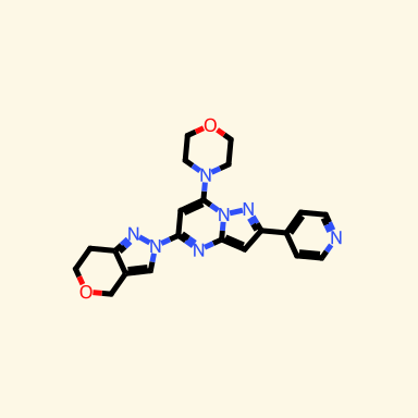 c1cc(-c2cc3nc(-n4cc5c(n4)CCOC5)cc(N4CCOCC4)n3n2)ccn1